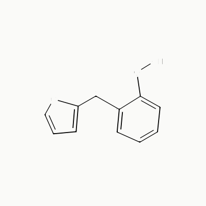 COc1ccccc1Cc1ccco1